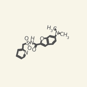 CN(C)c1ccc2cc(C(=O)NS(=O)(=O)Cc3ccccn3)oc2c1